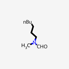 CCCCCCCN(C)C=O